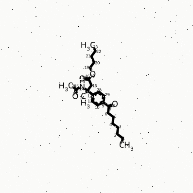 CCCCCCCC(=O)c1ccc(C(C)(CC(=O)OCCCCC)NC(C)=O)cc1